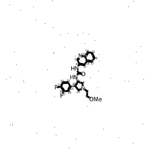 COCCN1C[C@@H](NC(=O)Nc2cnc3ccccc3c2)[C@H](c2ccc(F)c(F)c2)C1